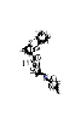 Cc1coc(/C=C/c2csc(NC(=O)c3cccn3Cc3ccncc3)n2)n1